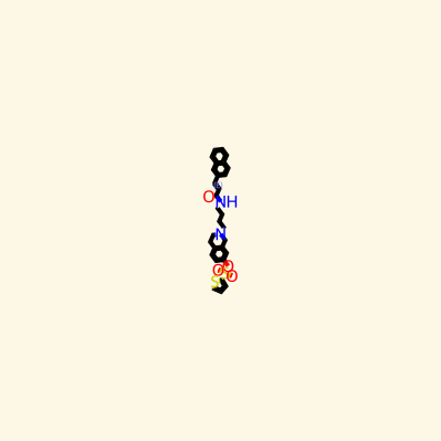 O=C(/C=C/c1ccc2ccccc2c1)NCCCCN1CCc2ccc(OS(=O)(=O)c3cccs3)cc2C1